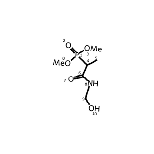 COP(=O)(OC)C(C)C(=O)NCO